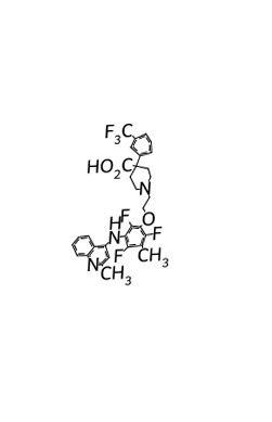 Cc1cc(Nc2c(F)c(C)c(F)c(OCCN3CCC(C(=O)O)(c4cccc(C(F)(F)F)c4)CC3)c2F)c2ccccc2n1